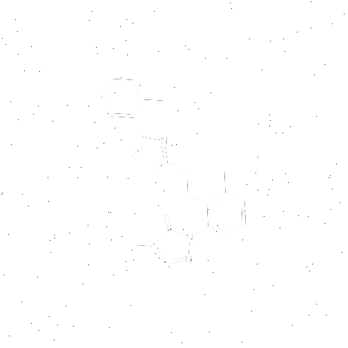 Cc1cccc(-n2nnn(C)c2=O)c1COc1nc(-c2ccccc2F)cs1